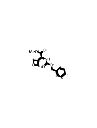 COC(=O)C(NC(=O)OCc1ccccc1)=C1COC1